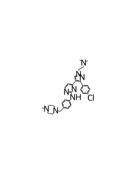 CN(C)CCn1cc(-c2ccnc(Nc3ccc(CN4CCN(C)CC4)cc3)n2)c(-c2ccc(Cl)cc2)n1